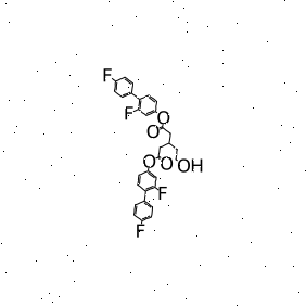 O=C(CC(CCO)CC(=O)Oc1ccc(-c2ccc(F)cc2)c(F)c1)Oc1ccc(-c2ccc(F)cc2)c(F)c1